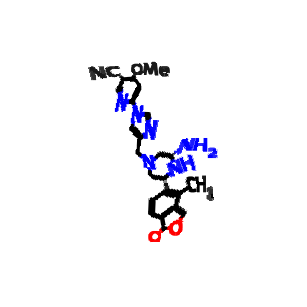 COc1cc(-n2cnc(CN3C[C@@H](c4ccc5c(c4C)COC5=O)N[C@@H](N)C3)c2)ncc1C#N